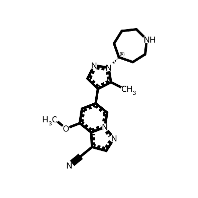 COc1cc(-c2cnn([C@@H]3CCCNCC3)c2C)cn2ncc(C#N)c12